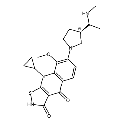 CNC(C)[C@@H]1CCN(c2ccc3c(=O)c4c(=O)[nH]sc4n(C4CC4)c3c2OC)C1